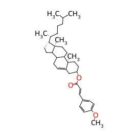 COc1ccc(C=CC(=O)OC2CC[C@@]3(C)C(=CCC4C3CC[C@@]3(C)C4CC[C@@H]3[C@H](C)CCCC(C)C)C2)cc1